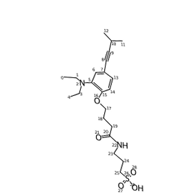 CCN(CC)c1cc(C#CC(C)C)ccc1OCCCC(=O)NCCCS(=O)(=O)O